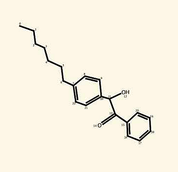 CCCCCCCc1ccc(C(O)C(=O)c2ccccc2)cc1